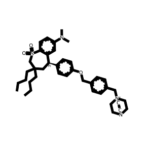 CCCCC1(CCCC)C[C@H](c2ccc(OCc3ccc(C[N+]45CCN(CC4)CC5)cc3)cc2)c2cc(N(C)C)ccc2S(=O)(=O)C1